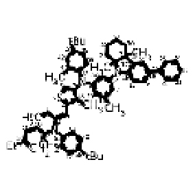 C=C/C(=C\c1scc(N(c2cc(C)cc(N3c4ccc(-c5ccccc5)cc4C4(C)CCCCC34C)c2)c2ccc(C(C)(C)C)cc2C)c1C)N(C(=C)/C=C\C(=C)CC)c1ccc(C(C)(C)C)cc1